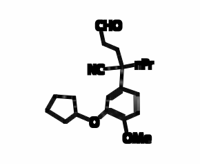 CCCC(C#N)(CCC=O)c1ccc(OC)c(OC2CCCC2)c1